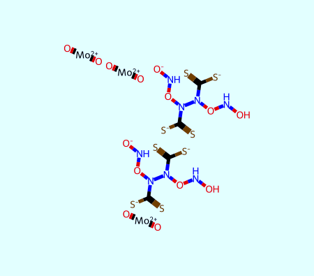 [O-]NON(C(=S)[S-])N(ONO)C(=S)[S-].[O-]NON(C(=S)[S-])N(ONO)C(=S)[S-].[O]=[Mo+2]=[O].[O]=[Mo+2]=[O].[O]=[Mo+2]=[O]